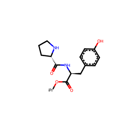 CC(C)OC(=O)[C@H](Cc1ccc(O)cc1)NC(=O)[C@@H]1CCCN1